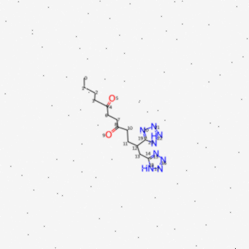 CCCCC(=O)CCC(=O)CCC(Cc1nnn[nH]1)c1nnn[nH]1